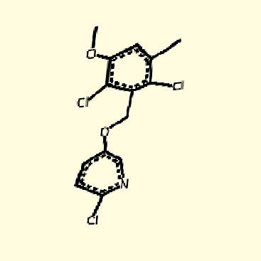 COc1cc(C)c(Cl)c(COc2ccc(Cl)nc2)c1Cl